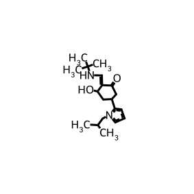 CC(C)Cn1cccc1C1CC(=O)/C(=C/NC(C)(C)C)C(O)C1